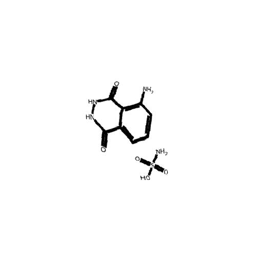 NS(=O)(=O)O.Nc1cccc2c(=O)[nH][nH]c(=O)c12